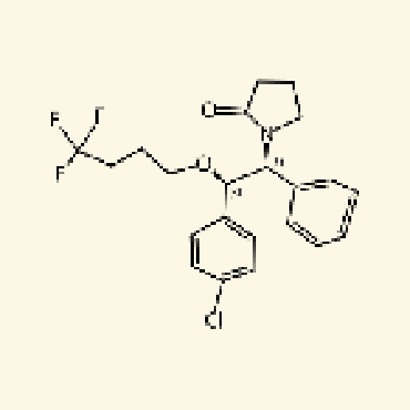 O=C1CCCN1[C@@H](c1ccccc1)[C@H](OCCCC(F)(F)F)c1ccc(Cl)cc1